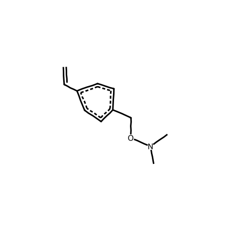 C=Cc1ccc(CON(C)C)cc1